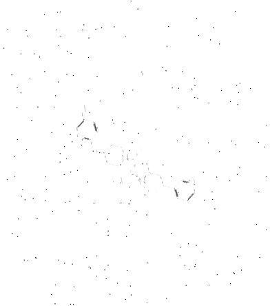 O=CN(O)C(CCc1cccnc1)CS(=O)(=O)N1CCC(Oc2ccc(Cl)cn2)CC1